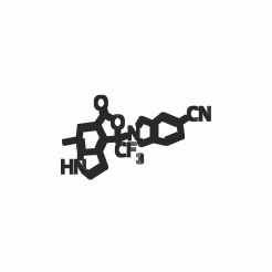 Cc1cc2c(c3cc[nH]c13)C(N1Cc3ccc(C#N)cc3C1)(C(F)(F)F)OC2=O